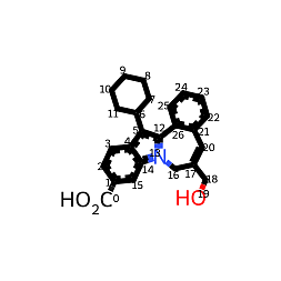 O=C(O)c1ccc2c(C3CCCCC3)c3n(c2c1)CC(CO)=Cc1ccccc1-3